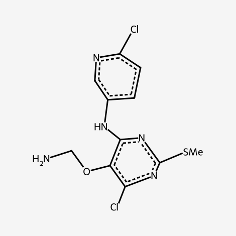 CSc1nc(Cl)c(OCN)c(Nc2ccc(Cl)nc2)n1